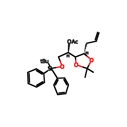 C=CC[C@@H]1OC(C)(C)OC1[C@@H](CO[Si](c1ccccc1)(c1ccccc1)C(C)(C)C)OC(C)=O